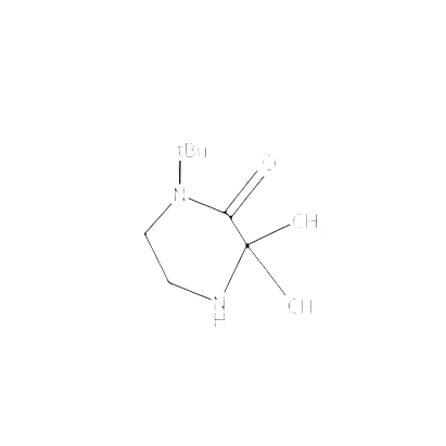 CC1(C)NCCN(C(C)(C)C)C1=O